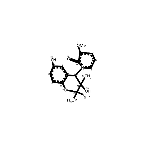 COc1cccn(C2c3cc(C#N)ccc3OC(C)(C)C2(C)O)c1=O